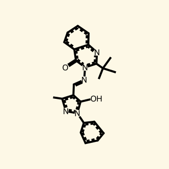 Cc1nn(-c2ccccc2)c(O)c1C=Nn1c(C(C)(C)C)nc2ccccc2c1=O